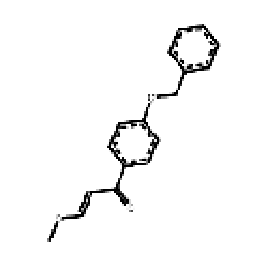 COC=CC(=O)c1ccc(OCc2ccccc2)cc1